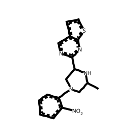 CC1CN(c2ccccc2[N+](=O)[O-])CC(c2ncc3ccsc3n2)N1